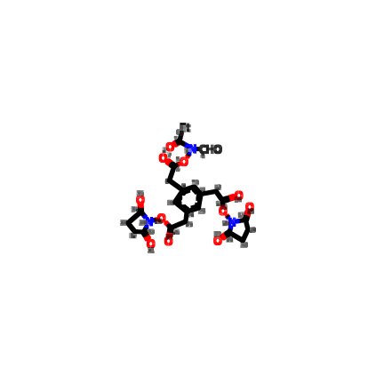 CCC(=O)N(C=O)OC(=O)Cc1cc(CC(=O)ON2C(=O)CCC2=O)cc(CC(=O)ON2C(=O)CCC2=O)c1